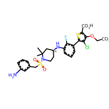 CC1(C)C[C@@H](Nc2cccc(-c3sc(C(=O)O)c(OCC(=O)O)c3Cl)c2F)CCN1S(=O)(=O)Cc1cccc(N)c1